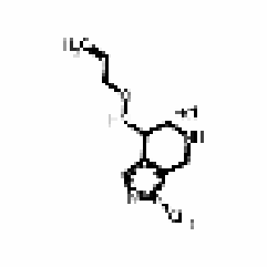 C=CCONC1CNCc2c1cnn2C.Cl